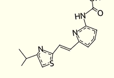 CC(C)c1csc(C=Cc2cccc(NC(=O)O)n2)n1